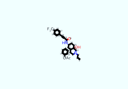 C=CCN1CC[C@@]2(c3cccc(OC(C)=O)c3)C[C@H](NC(=O)C#Cc3ccc(C(F)(F)F)cc3)CC[C@]2(O)C1